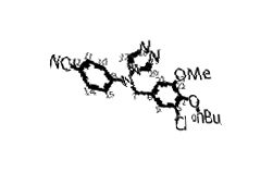 CCCCOc1c(Cl)cc(CN(c2ccc(C#N)cc2)n2cnnc2)cc1OC